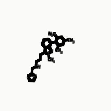 Cc1cc(C)c(-c2cccc3c(CCCNCc4nccs4)n(C)nc23)c(C)c1